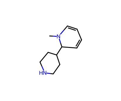 CN1C=CC=CC1C1CCNCC1